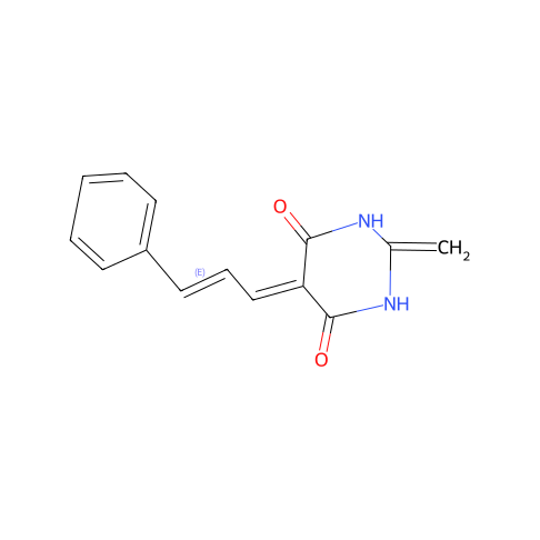 C=c1[nH]c(=O)c(=C/C=C/c2ccccc2)c(=O)[nH]1